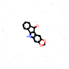 O=C1c2ccccc2-c2[nH]c3cc4c(cc3c21)OCO4